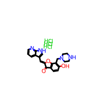 Cl.Cl.Cl.O=C1/C(=C/c2c[nH]c3ncccc23)Oc2c1ccc(O)c2CN1CCNCC1